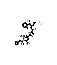 CC(=O)OC(CC(C(C)C)N(C)C(=O)CC1CCC1)c1nc(C(=O)NC(Cc2ccccc2)CC(C)C(=O)O)cs1